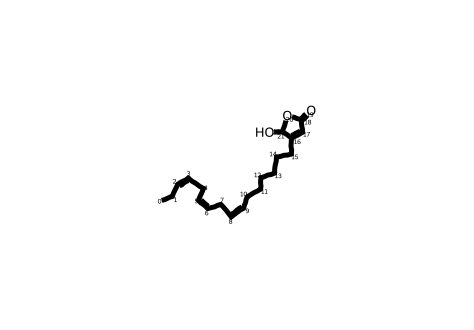 CC/C=C\C/C=C\C/C=C\CCCCCCC1=CC(=O)OC1O